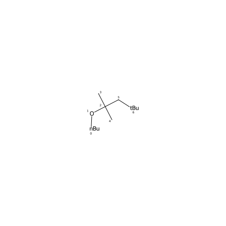 CCCCOC(C)(C)CC(C)(C)C